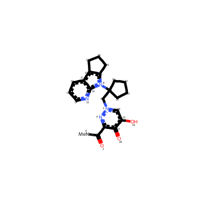 CNC(=O)c1nn(CC2(n3c4c(c5cccnc53)CCC4)CCCC2)cc(O)c1=O